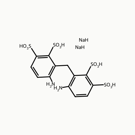 Nc1ccc(S(=O)(=O)O)c(S(=O)(=O)O)c1Cc1c(N)ccc(S(=O)(=O)O)c1S(=O)(=O)O.[NaH].[NaH]